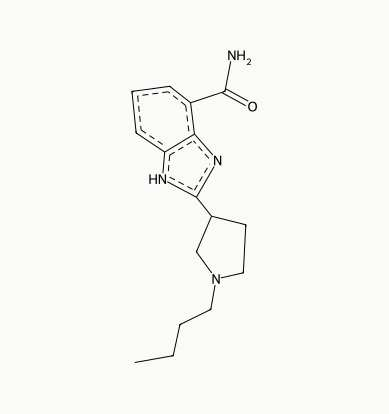 CCCCN1CCC(c2nc3c(C(N)=O)cccc3[nH]2)C1